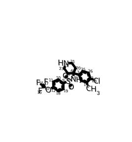 Cc1cc(C2(NS(=O)(=O)c3ccc(OC(F)(F)F)cc3)CCNCC2)ccc1Cl